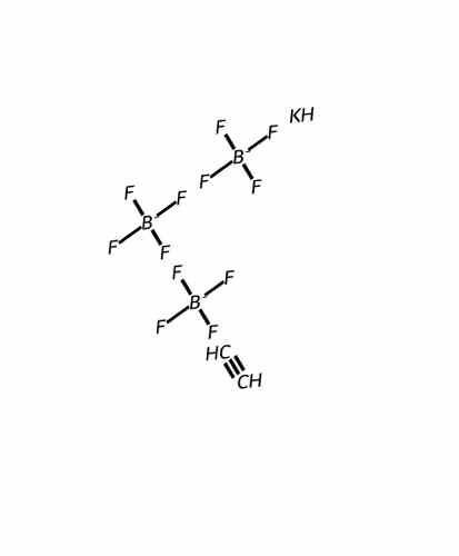 C#C.F[B-](F)(F)F.F[B-](F)(F)F.F[B-](F)(F)F.[KH]